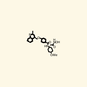 CO[C@H]1CC[C@@](CC(=O)NO)(NC(=O)c2ccc(OCc3cc(C)nc4ccccc34)cc2)CC1